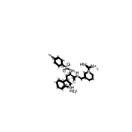 Cl.N=C(N)N1CCCC(CNC(=O)C(Cc2c[nH]c3ccccc23)NS(=O)(=O)c2ccc(I)cc2)C1